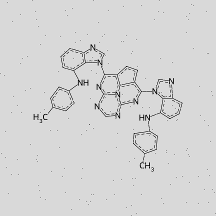 Cc1ccc(Nc2cccc3ncn(-c4nc5ncnc6nc(-n7cnc8cccc(Nc9ccc(C)cc9)c87)c7ccc4c7n56)c23)cc1